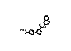 CCCCC(C)c1ccc(-c2cccc(C(=O)Nc3cnc4ccccc4c3)c2)cc1